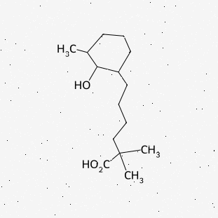 CC1CCCC(CCCCC(C)(C)C(=O)O)C1O